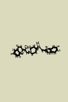 OC(CN1CCC(NCc2nc3ccccc3s2)CC1)C1CCc2ccccc2O1